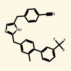 Cc1cc(Cc2ncc(Cc3ccc(C#N)cc3)[nH]2)ccc1-c1cccc(C(F)(F)F)c1